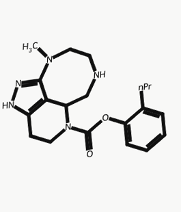 CCCc1ccccc1OC(=O)N1CCc2[nH]nc3c2C1CNCCN3C